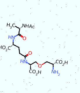 CC(=O)N[C@@H](C)C(=O)N[C@H](CCC(=O)N[C@@H](COC[C@@H](N)C(=O)O)C(=O)O)C(=O)O